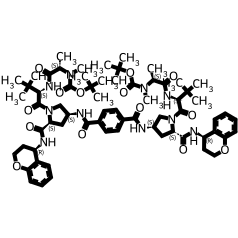 C[C@@H](C(=O)N[C@H](C(=O)N1C[C@@H](NC(=O)c2ccc(C(=O)N[C@H]3C[C@@H](C(=O)N[C@@H]4CCOc5ccccc54)N(C(=O)[C@@H](NC(=O)[C@H](C)N(C)C(=O)OC(C)(C)C)C(C)(C)C)C3)cc2)C[C@H]1C(=O)N[C@@H]1CCOc2ccccc21)C(C)(C)C)N(C)C(=O)OC(C)(C)C